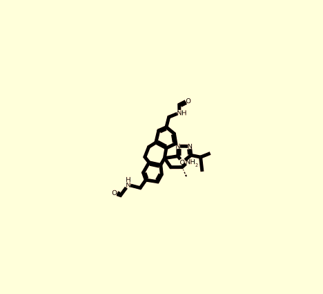 CC(C)c1nnc(C2(C[C@@H](C)N)c3ccc(CNC=O)cc3CCc3cc(CNC=O)ccc32)o1